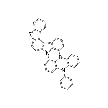 c1ccc(N2c3ccccc3B3c4c2cccc4-n2c4ccc5sc6ccccc6c5c4c4cccc3c42)cc1